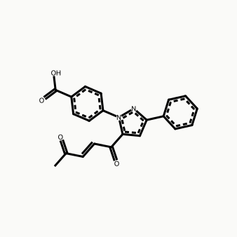 CC(=O)C=CC(=O)c1cc(-c2ccccc2)nn1-c1ccc(C(=O)O)cc1